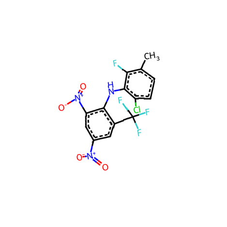 Cc1ccc(Cl)c(Nc2c([N+](=O)[O-])cc([N+](=O)[O-])cc2C(F)(F)F)c1F